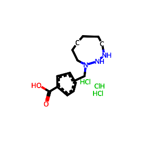 Cl.Cl.Cl.O=C(O)c1ccc(CN2CCCCCCNN2)cc1